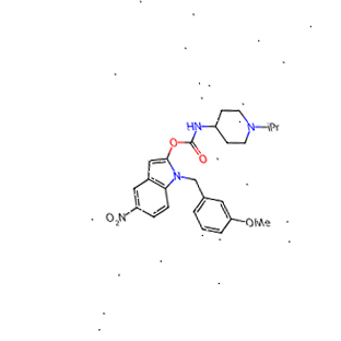 COc1cccc(Cn2c(OC(=O)NC3CCN(C(C)C)CC3)cc3cc([N+](=O)[O-])ccc32)c1